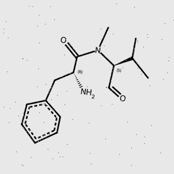 CC(C)[C@@H]([C]=O)N(C)C(=O)[C@H](N)Cc1ccccc1